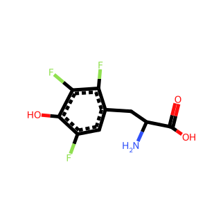 NC(Cc1cc(F)c(O)c(F)c1F)C(=O)O